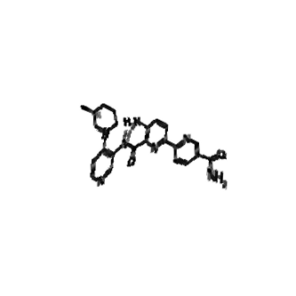 C[C@H]1CCCN(c2ccncc2NC(=O)c2nc(-c3ccc(C(N)=O)cn3)ccc2N)C1